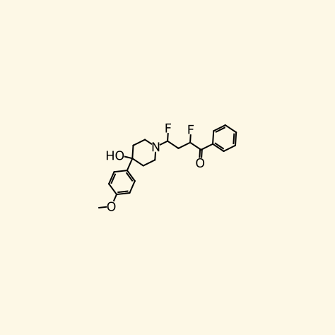 COc1ccc(C2(O)CCN(C(F)CC(F)C(=O)c3ccccc3)CC2)cc1